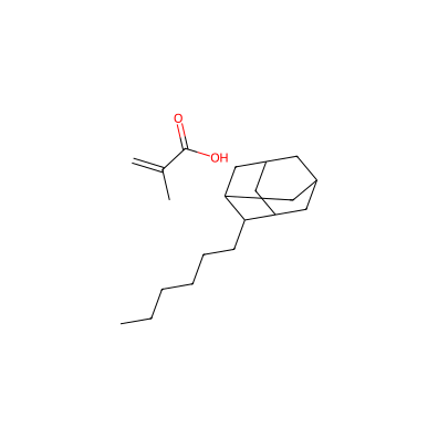 C=C(C)C(=O)O.CCCCCCC1C2CC3CC(C2)CC1C3